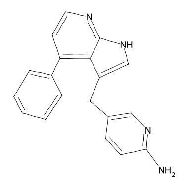 Nc1ccc(Cc2c[nH]c3nccc(-c4ccccc4)c23)cn1